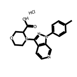 Cc1ccc(-n2nc(N3CCOCC3C(=O)O)c3ccncc32)cc1.Cl